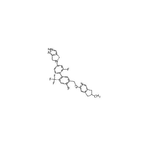 CC1Cc2cnc(OCc3cc(-c4ccc(N5Cc6c[nH]nc6C5)cc4F)c(C(F)(F)F)cc3F)cc2C1